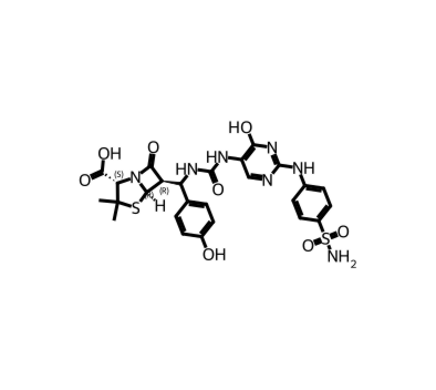 CC1(C)S[C@@H]2[C@H](C(NC(=O)Nc3cnc(Nc4ccc(S(N)(=O)=O)cc4)nc3O)c3ccc(O)cc3)C(=O)N2[C@H]1C(=O)O